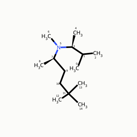 CC(C)[C@H](C)N(C)[C@H](C)CCC(C)(C)C